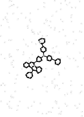 c1ccc(-c2ccc(N(c3ccc(-c4ccccc4)cc3)c3ccc(-c4cc5ccccc5c5c(-c6ccccc6)c6ccccc6n45)cc3)cc2)cc1